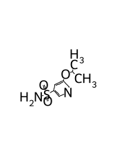 CC(C)Oc1cncc(S(N)(=O)=O)c1